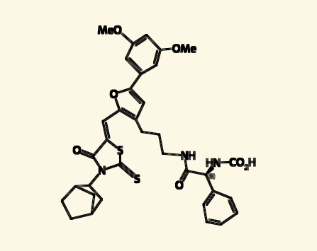 COc1cc(OC)cc(-c2cc(CCCNC(=O)[C@@H](NC(=O)O)c3ccccc3)c(C=C3SC(=S)N(C4CC5CCC4C5)C3=O)o2)c1